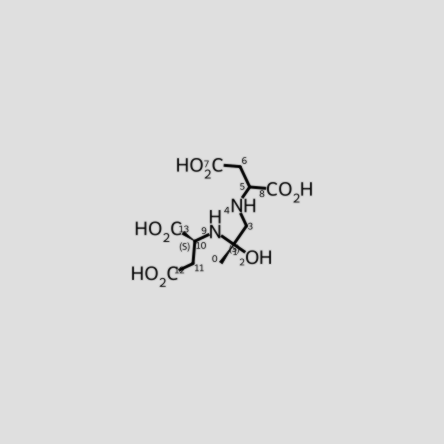 C[C@](O)(CNC(CC(=O)O)C(=O)O)N[C@@H](CC(=O)O)C(=O)O